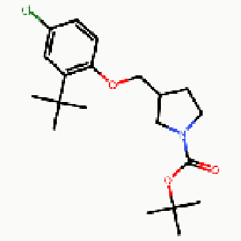 CC(C)(C)OC(=O)N1CCC(COc2ccc(Cl)cc2C(C)(C)C)C1